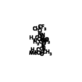 COC(=O)c1c(C)cc(N2CCN(C(=O)c3cnc4c(n3)C(C)(C)CN4c3ccc(C(F)(F)F)c(Cl)c3)C(C)(C)C2)nc1C